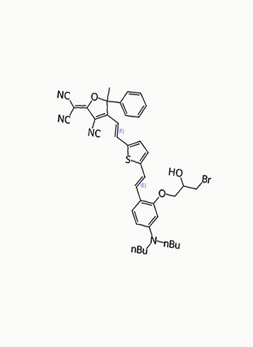 [C-]#[N+]C1=C(/C=C/c2ccc(/C=C/c3ccc(N(CCCC)CCCC)cc3OCC(O)CBr)s2)C(C)(c2ccccc2)OC1=C(C#N)C#N